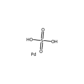 O=S(=O)(O)O.[Pd]